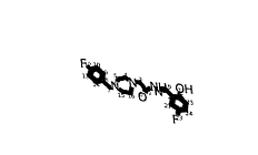 O=C(CN1CCN(Cc2ccc(F)cc2)CC1)NN=Cc1cc(F)ccc1O